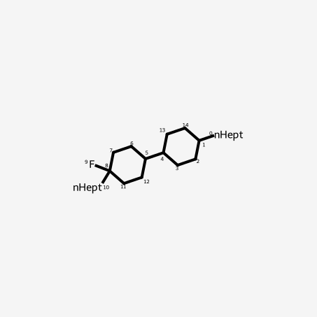 CCCCCCCC1CCC(C2CCC(F)(CCCCCCC)CC2)CC1